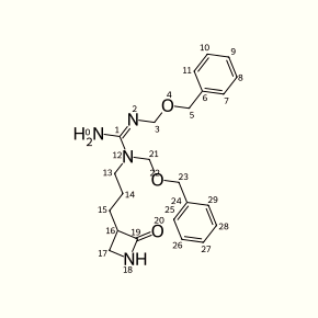 NC(=NCOCc1ccccc1)N(CCCC1CNC1=O)COCc1ccccc1